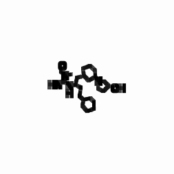 CN(C=O)C(=N)N[C@H](CCC1CCCCC1)C[C@H]1CCC[C@@H](N2CC[C@@H](O)C2)C1